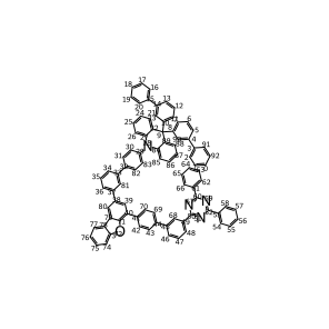 c1ccc(-c2cccc(C3(c4cccc(-c5ccccc5)c4)c4ccccc4N(c4ccc(-c5cccc(-c6cc(-c7ccc(-c8cccc(-c9nc(-c%10ccccc%10)nc(-c%10ccccc%10)n9)c8)cc7)c7oc8ccccc8c7c6)c5)cc4)c4ccccc43)c2)cc1